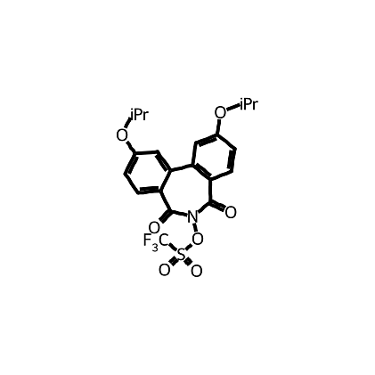 CC(C)Oc1ccc2c(=O)n(OS(=O)(=O)C(F)(F)F)c(=O)c3ccc(OC(C)C)cc3c2c1